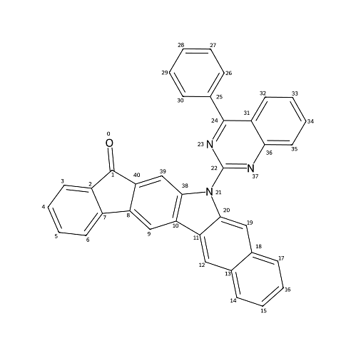 O=C1c2ccccc2-c2cc3c4cc5ccccc5cc4n(-c4nc(-c5ccccc5)c5ccccc5n4)c3cc21